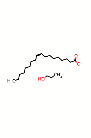 CCCCCCCC/C=C\CCCCCCCC(=O)O.CCCO